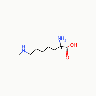 CNCCCCC[C@@H](N)C(=O)O